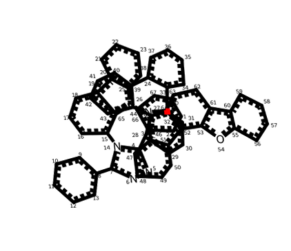 c1ccc(-c2nnc(-c3ccccc3)n2-c2cccc3c4ccccc4n(-c4ccccc4-c4ccccc4-c4ccccc4-n4c5ccccc5c5c6oc7ccccc7c6ccc54)c23)cc1